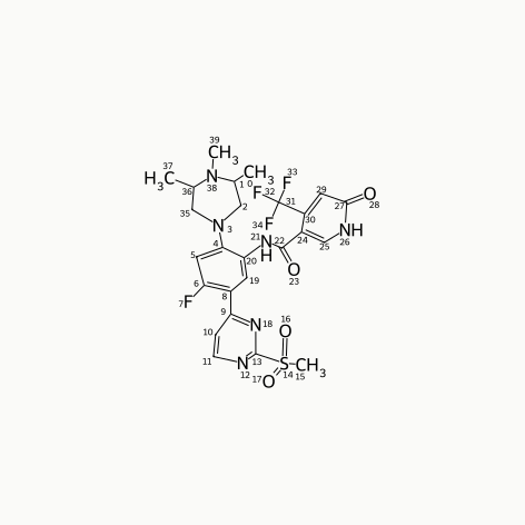 CC1CN(c2cc(F)c(-c3ccnc(S(C)(=O)=O)n3)cc2NC(=O)c2c[nH]c(=O)cc2C(F)(F)F)CC(C)N1C